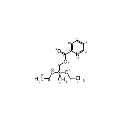 CCO[Si](C)(COC(=O)c1ccccn1)OCC